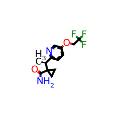 C[C@@H](c1ccc(OCC(F)(F)F)cn1)C1(C(N)=O)CC1